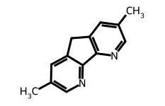 Cc1cnc2c(c1)Cc1cc(C)cnc1-2